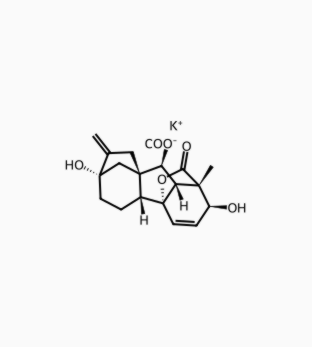 C=C1C[C@]23C[C@@]1(O)CC[C@H]2[C@@]12C=C[C@H](O)[C@@](C)(C(=O)O1)[C@H]2[C@@H]3C(=O)[O-].[K+]